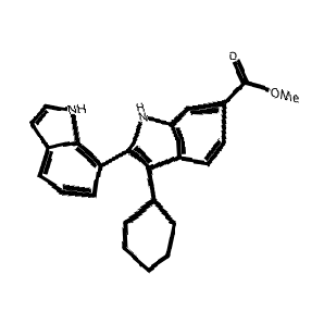 COC(=O)c1ccc2c(C3CCCCC3)c(-c3cccc4cc[nH]c34)[nH]c2c1